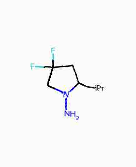 CC(C)C1CC(F)(F)CN1N